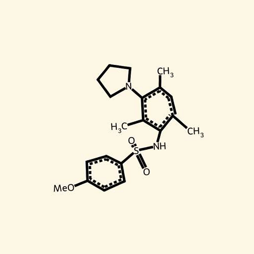 COc1ccc(S(=O)(=O)Nc2c(C)cc(C)c(N3CCCC3)c2C)cc1